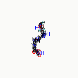 O=C1CCC(N2Cc3cc(N4CCC(CN5C[C@@H]6C[C@H]5CN6c5ccc(-c6cnc7[nH]cc(Cc8c(F)ccc(NS(=O)(=O)N9CC[C@@H](F)C9)c8F)c7c6)cc5)CC4)ccc3C2=O)C(=O)N1